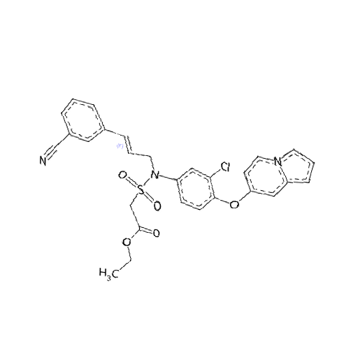 CCOC(=O)CS(=O)(=O)N(C/C=C/c1cccc(C#N)c1)c1ccc(Oc2ccn3cccc3c2)c(Cl)c1